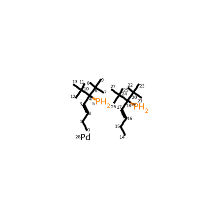 CCC=CC(P)(C(C)(C)C)C(C)(C)C.CCC=CC(P)(C(C)(C)C)C(C)(C)C.[Pd]